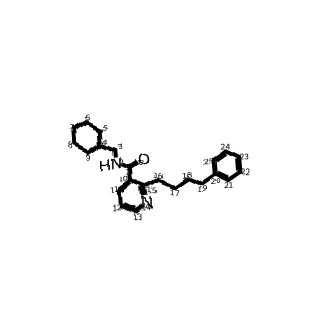 O=C(NCC1CCCCC1)c1cccnc1CCCCc1ccccc1